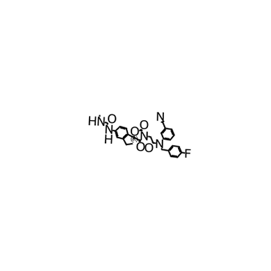 CNC(=O)Nc1ccc2c(c1)CC[C@@]21OC(=O)N(CC(=O)N(Cc2ccc(F)cc2)c2cccc(C#N)c2)C1=O